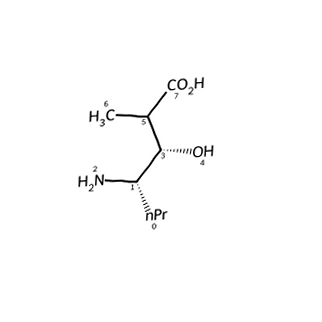 CCC[C@H](N)[C@@H](O)C(C)C(=O)O